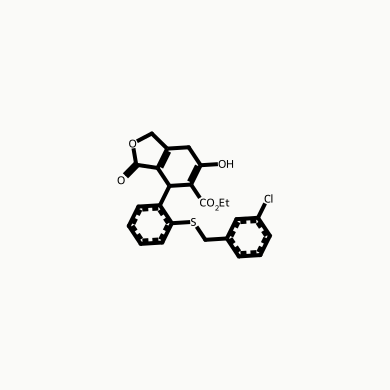 CCOC(=O)C1=C(O)CC2=C(C(=O)OC2)C1c1ccccc1SCc1cccc(Cl)c1